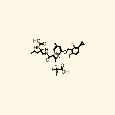 CCCC(C)(CNC(=O)c1c(C)nc2c(OCc3c(F)ccc(C4CC4)c3F)cc(C)cn12)NC(=O)O.O=C(O)C(F)(F)F